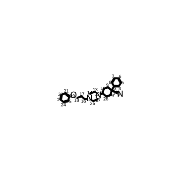 N#CC1(c2ccccc2)CCC(N2CCN(CCCOc3ccccc3)CC2)CC1